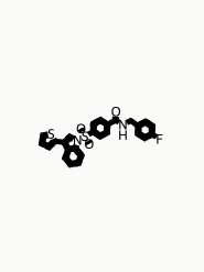 O=C(NCc1ccc(F)cc1)c1ccc(S(=O)(=O)n2cc(-c3cccs3)c3ccccc32)cc1